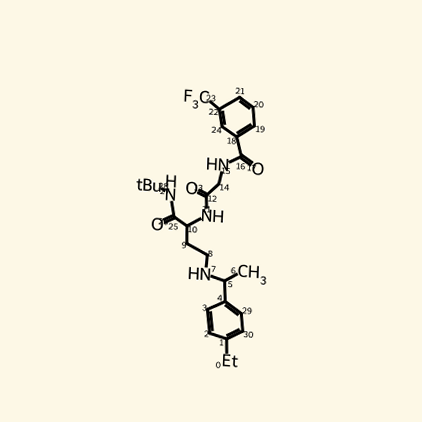 CCc1ccc(C(C)NCCC(NC(=O)CNC(=O)c2cccc(C(F)(F)F)c2)C(=O)NC(C)(C)C)cc1